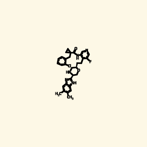 Cc1cc2nc([C@@H]3CO[C@H](CCc4c(F)cncc4NC(=O)C4(Cc5ccccc5Cl)CC4)CN3)[nH]c2cc1C